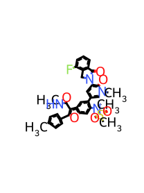 CNC(=O)c1c(-c2ccc(C)cc2)oc2cc(N(C)S(C)(=O)=O)c(-c3cc(N4Cc5c(F)cccc5C4=O)c(=O)n(C)c3)cc12